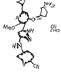 COc1nc(C2CC2)cc(O[C@@H]2CC[C@H](N)C2)c1-c1cc(Nc2ccc(C#N)nc2)n[nH]1.O=CO